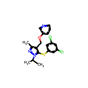 Cc1nn(C(C)C)c(Sc2cc(Cl)cc(Cl)c2)c1COc1cccnc1